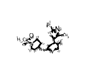 Cc1nc(C(C)C)sc1-c1cc(NC2CCN(S(C)(=O)=O)CC2)ncc1F